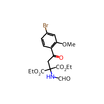 CCOC(=O)C(CC(=O)c1ccc(Br)cc1OC)(NC=O)C(=O)OCC